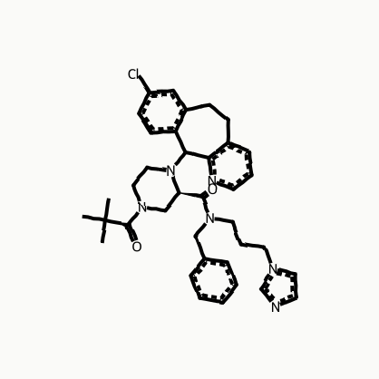 CC(C)(C)C(=O)N1CCN(C2c3ccc(Cl)cc3CCc3cccnc32)[C@@H](C(=O)N(CCCn2ccnc2)Cc2ccccc2)C1